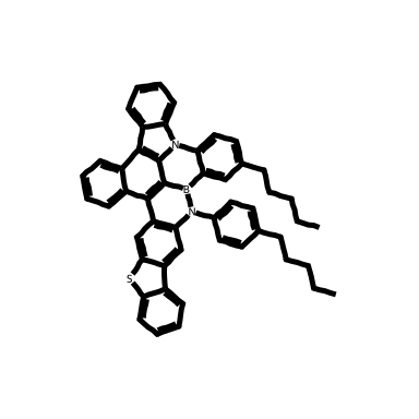 CCCCCc1ccc(N2B3c4cc(CCCCC)ccc4-n4c5ccccc5c5c6ccccc6c(c3c54)-c3cc4sc5ccccc5c4cc32)cc1